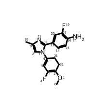 COC1=C(F)C=C(n2cc(C)nc2-c2ccc(N)c(F)c2)CC1